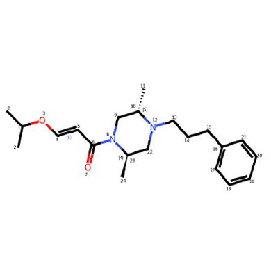 CC(C)O/C=C/C(=O)N1C[C@H](C)N(CCCc2ccccc2)C[C@H]1C